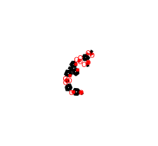 COc1ccc(Oc2ccc(OC(=O)Oc3ccc(C(C)(c4ccccc4)c4ccc(OC(=O)Oc5cc(OC(C)=O)cc(OC(C)=O)c5)cc4)cc3)cc2)cc1